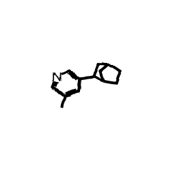 Cc1cncc(C2CC3CCC2C3)c1